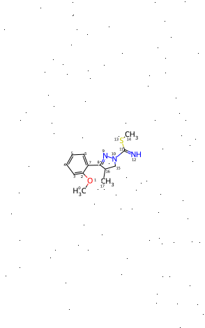 COc1ccccc1C1=NN(C(=N)SC)CC1C